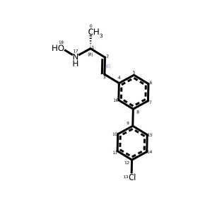 C[C@H](/C=C/c1cccc(-c2ccc(Cl)cc2)c1)NO